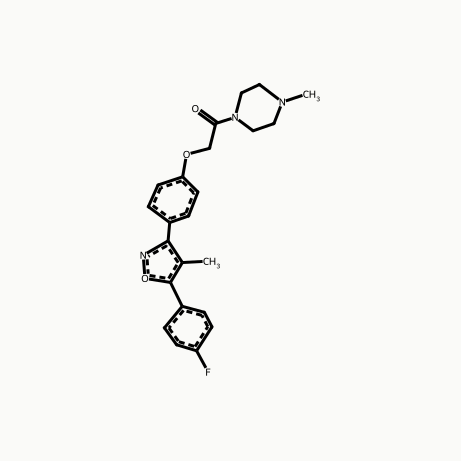 Cc1c(-c2ccc(OCC(=O)N3CCN(C)CC3)cc2)noc1-c1ccc(F)cc1